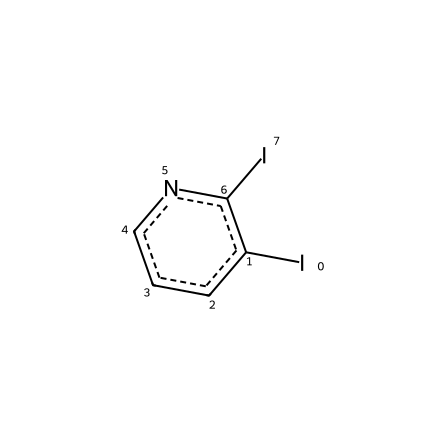 Ic1cccnc1I